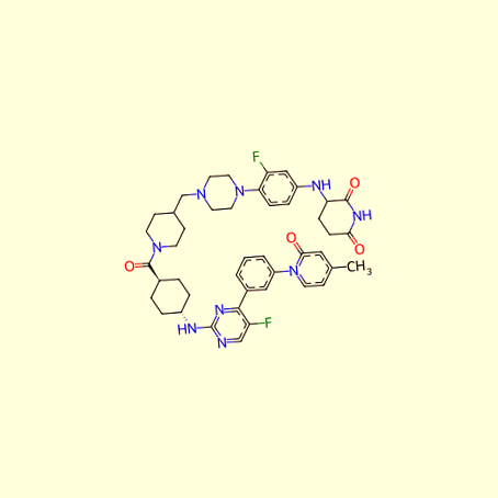 Cc1ccn(-c2cccc(-c3nc(N[C@H]4CC[C@H](C(=O)N5CCC(CN6CCN(c7ccc(NC8CCC(=O)NC8=O)cc7F)CC6)CC5)CC4)ncc3F)c2)c(=O)c1